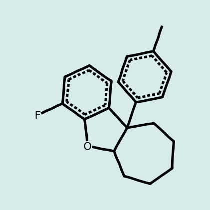 Cc1ccc(C23CCCCCC2Oc2c(F)cccc23)cc1